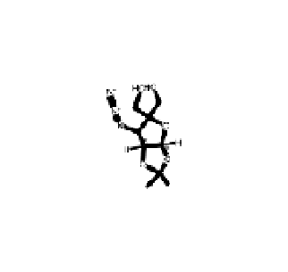 CC1(C)O[C@H]2OC(CO)(CO)C(N=[N+]=[N-])[C@H]2O1